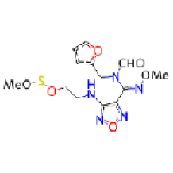 CO/N=C(/c1nonc1NCCOSOC)N(C=O)Cc1ccco1